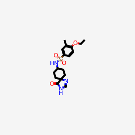 CCOc1ccc(S(=O)(=O)NC2CCC3(CC2)N=CNC3=O)cc1C